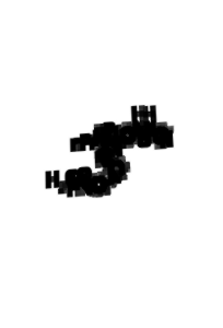 C=CC(=O)Nc1ccc(CN2CCCC(n3ncc4c(N(CCC)CCC)nc(-c5ccc(NC(=O)Nc6ccncc6)cc5)nc43)C2)cc1